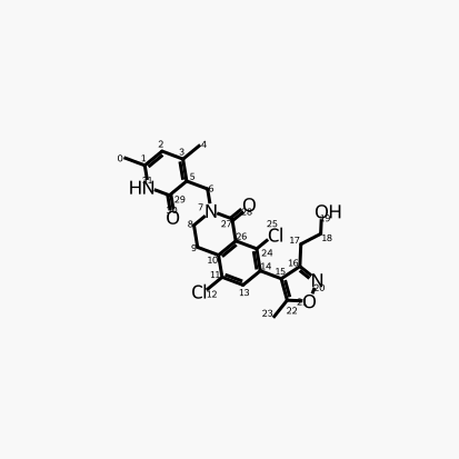 Cc1cc(C)c(CN2CCc3c(Cl)cc(-c4c(CCO)noc4C)c(Cl)c3C2=O)c(=O)[nH]1